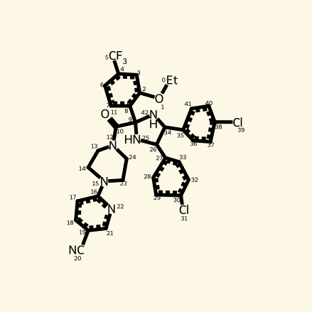 CCOc1cc(C(F)(F)F)ccc1C1(C(=O)N2CCN(c3ccc(C#N)cn3)CC2)NC(c2ccc(Cl)cc2)C(c2ccc(Cl)cc2)N1